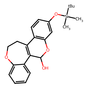 CC(C)(C)[Si](C)(C)Oc1ccc2c(c1)OC(O)C1=C2CCOc2ccccc21